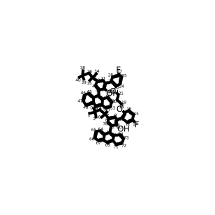 CC(C)(C)CC(C)(C)c1cc(-c2cc(F)ccc2OCCCOc2ccc(F)cc2-c2cc(C(C)(C)CC(C)(C)C)cc(-c3c4ccccc4cc4ccccc34)c2O)c(O)c(-c2c3ccccc3cc3ccccc23)c1